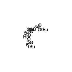 CC(C)(C)OC(=O)CONOC(=O)C(=O)ONOCC(=O)OC(C)(C)C